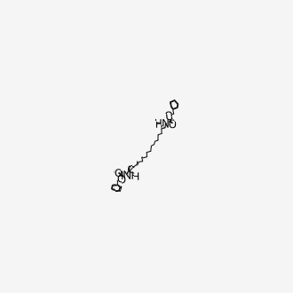 O=C(NCCCCCCCCCCCCCCCCCCNC(=O)OCc1ccccc1)OCc1ccccc1